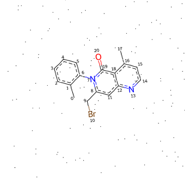 Cc1ccccc1-n1c(CBr)cc2nccc(C)c2c1=O